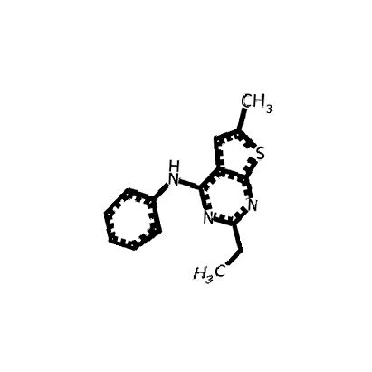 CCc1nc(Nc2ccccc2)c2cc(C)sc2n1